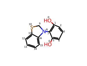 Oc1cccc(O)c1N1CSc2ccccc21